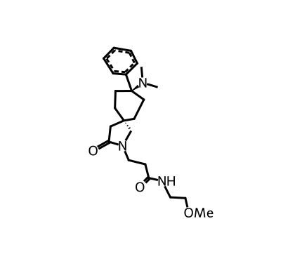 COCCNC(=O)CCN1C[C@]2(CC[C@](c3ccccc3)(N(C)C)CC2)CC1=O